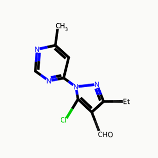 CCc1nn(-c2cc(C)ncn2)c(Cl)c1C=O